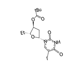 CC[C@H]1O[C@@H](n2cc(I)c(=O)[nH]c2=O)C[C@@H]1OC(=O)C(C)(C)C